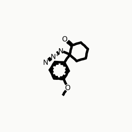 COc1cccc(C2(N=[N+]=[N-])CCCCC2=O)c1